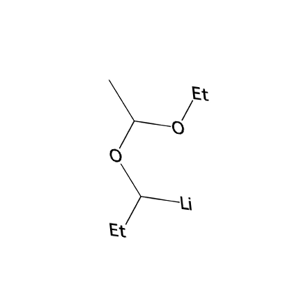 [Li][CH](CC)OC(C)OCC